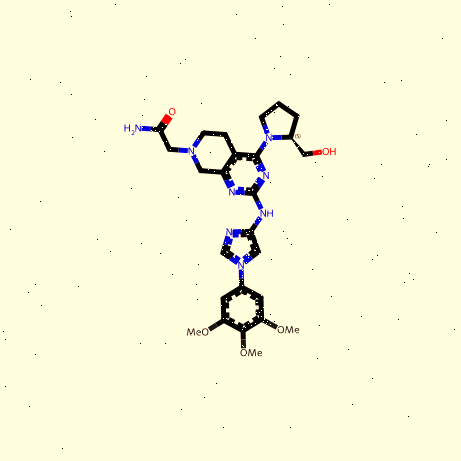 COc1cc(-n2cnc(Nc3nc4c(c(N5CCC[C@H]5CO)n3)CCN(CC(N)=O)C4)c2)cc(OC)c1OC